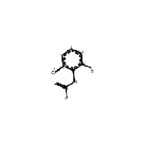 C=C(C)Cc1c(Cl)cccc1Cl